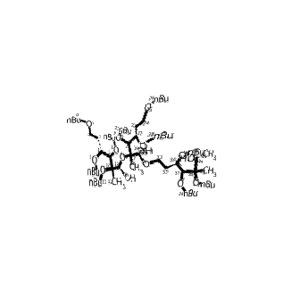 CCCCOCC[C@@H](OCCCC)C(OCCCC)C(C)(OCCCC)[C@H](O)OC(C)(C(OCCCC)[C@@H](CCOCCCC)OCCCC)[C@H](O)OCC[C@@H](OCCCC)C(OCCCC)C(C)(OCCCC)[C@@H](C)O